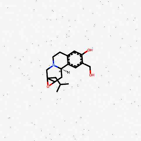 CC(C)CC12CN3CCc4cc(O)c(CO)cc4[C@H]3CC1O2